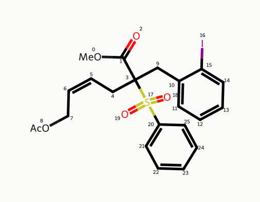 COC(=O)C(C/C=C\COC(C)=O)(Cc1ccccc1I)S(=O)(=O)c1ccccc1